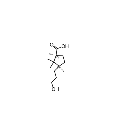 CC1(C)[C@](C)(CCCO)CC[C@]1(C)C(=O)O